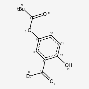 CCC(=O)c1cc(OC(=O)C(C)(C)C)ccc1O